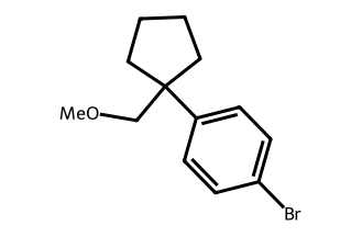 COCC1(c2ccc(Br)cc2)CCCC1